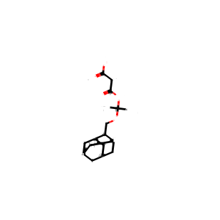 CC(C)(OCC1C2CC3CC(C2)CC1C3)OC(=O)CC(=O)O